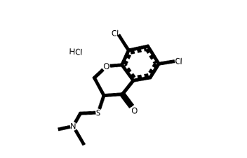 CN(C)CSC1COc2c(Cl)cc(Cl)cc2C1=O.Cl